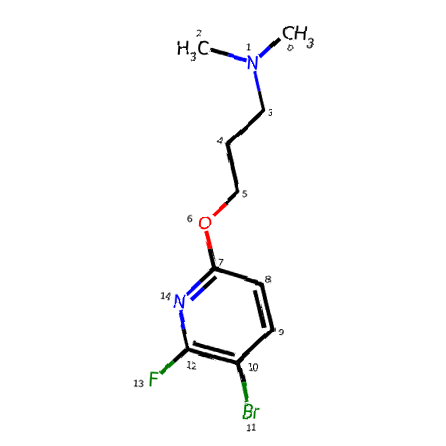 CN(C)CCCOc1ccc(Br)c(F)n1